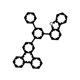 c1ccc(-c2cc(-c3ccc4c5ccccc5c5ccccc5c4c3)cc(-c3cccc4c3oc3ccccc34)c2)cc1